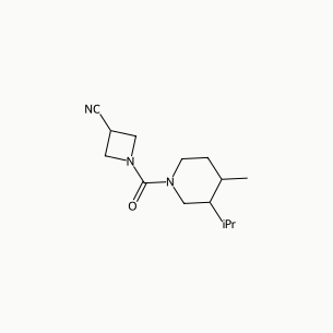 CC(C)C1CN(C(=O)N2CC(C#N)C2)CCC1C